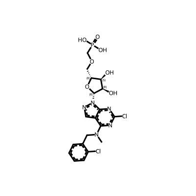 CN(Cc1ccccc1Cl)c1nc(Cl)nc2c1cnn2[C@@H]1O[C@H](COCP(=O)(O)O)[C@@H](O)[C@H]1O